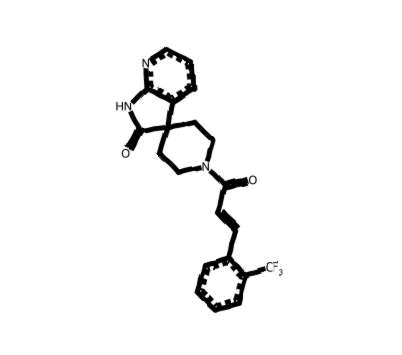 O=C(/C=C/c1ccccc1C(F)(F)F)N1CCC2(CC1)C(=O)Nc1ncccc12